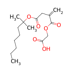 C=C(CC(=O)OC(C)(C)CCCCCC)C(=O)OCC(=O)O